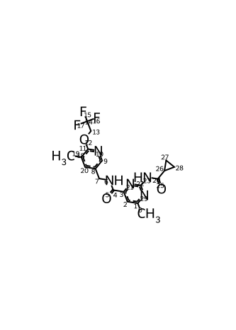 Cc1cc(C(=O)NCc2cnc(OCC(F)(F)F)c(C)c2)nc(NC(=O)C2CC2)n1